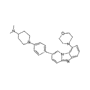 CN(C)C1CCN(c2ccc(-c3ccc4nc5cccc(N6CCOCC6)c5n4c3)cc2)CC1